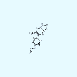 CC(C)CNc1ccc(C2=C(C(F)(F)F)CC3CCCC3C2)cn1